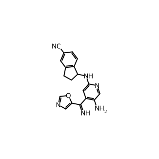 N#Cc1ccc2c(c1)CCC2Nc1cc(C(=N)c2cnco2)c(N)cn1